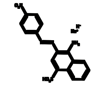 Nc1c(N=Nc2ccc([N+](=O)[O-])cc2)cc(S(=O)(=O)O)c2ccccc12.[H-].[Na+]